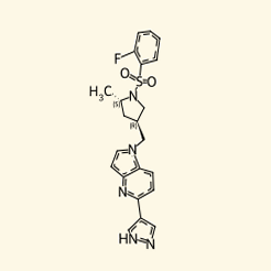 C[C@H]1C[C@H](Cn2ccc3nc(-c4cn[nH]c4)ccc32)CN1S(=O)(=O)c1ccccc1F